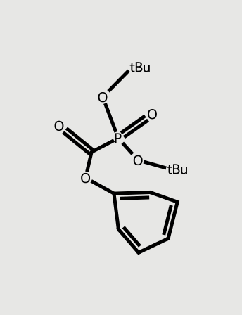 CC(C)(C)OP(=O)(OC(C)(C)C)C(=O)Oc1ccccc1